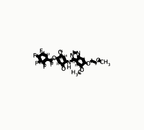 COCCOc1cc2ncnc(NC3=CC(=O)C(OC(F)c4cc(F)c(F)c(F)c4F)=CC3=O)c2cc1OC